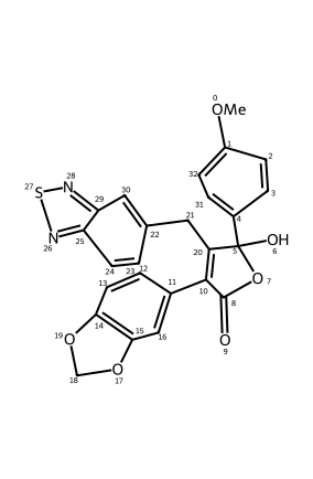 COc1ccc(C2(O)OC(=O)C(c3ccc4c(c3)OCO4)=C2Cc2ccc3nsnc3c2)cc1